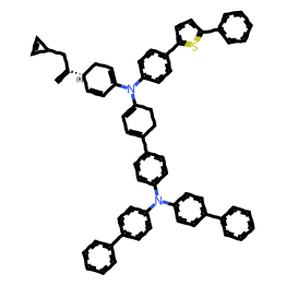 C=C(CC1C=C1)[C@H]1C=CC(N(C2=CC=C(c3ccc(N(c4ccc(-c5ccccc5)cc4)c4ccc(-c5ccccc5)cc4)cc3)CC2)c2ccc(-c3ccc(-c4ccccc4)s3)cc2)=CC1